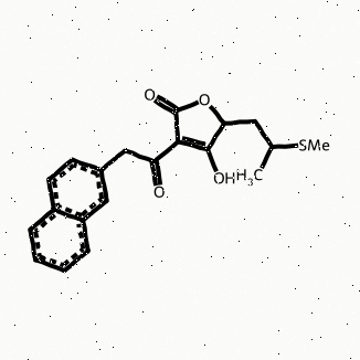 CSC(C)CC1OC(=O)C(C(=O)Cc2ccc3ccccc3c2)=C1O